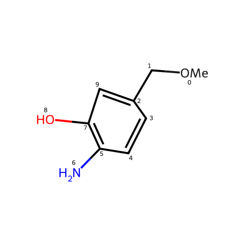 COCc1ccc(N)c(O)c1